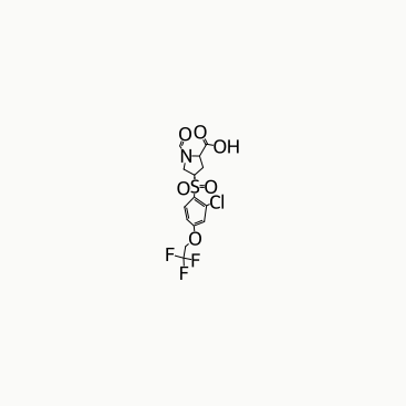 O=CN1C[C@H](S(=O)(=O)c2ccc(OCC(F)(F)F)cc2Cl)CC1C(=O)O